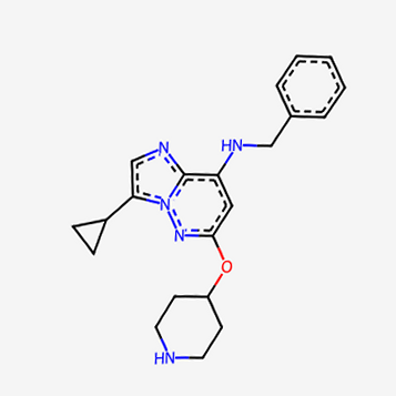 c1ccc(CNc2cc(OC3CCNCC3)nn3c(C4CC4)cnc23)cc1